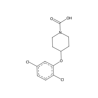 O=C(O)N1CCC(Oc2cc(Cl)ccc2Cl)CC1